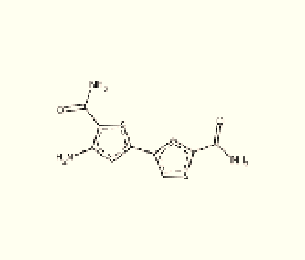 NC(=O)c1cc(-c2cc(N)c(C(N)=O)s2)cs1